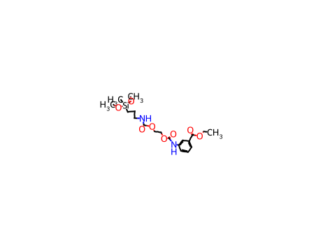 CCOC(=O)c1cccc(NC(=O)OCCOC(=O)NCCC[Si](C)(OC)OC)c1